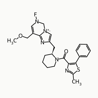 COCC1=CN(F)C[N+]2C=C(C[C@@H]3CCCCN3C(=O)c3nc(C)sc3-c3ccccc3)N=C12